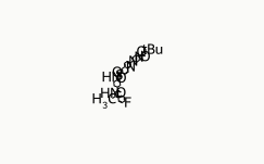 CC(NC(=O)C1CCC(NS(=O)(=O)c2ccc3nc(N4CCN(C(=O)OC(C)(C)C)CC4)ccc3c2)CC1)c1ccc(F)cc1